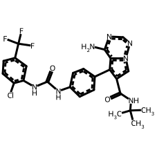 CC(C)(C)NC(=O)c1cn2ncnc(N)c2c1-c1ccc(NC(=O)Nc2cc(C(F)(F)F)ccc2Cl)cc1